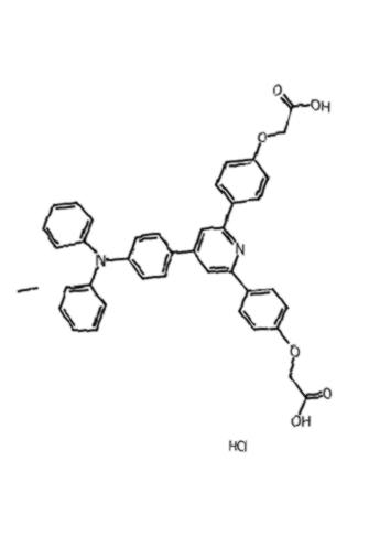 CC.Cl.O=C(O)COc1ccc(-c2cc(-c3ccc(N(c4ccccc4)c4ccccc4)cc3)cc(-c3ccc(OCC(=O)O)cc3)n2)cc1